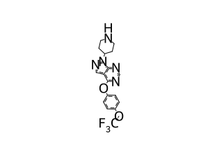 FC(F)(F)Oc1ccc(Oc2ncnc3c2cnn3C2CCNCC2)cc1